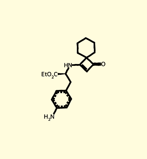 CCOC(=O)[C@H](Cc1ccc(N)cc1)NC1=CC(=O)C12CCCCC2